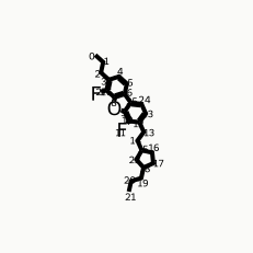 CCCc1ccc2c(oc3c(F)c(CCC4CCC(CCC)C4)ccc32)c1F